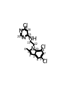 Cc1cc2cc(Cl)cc(Cl)c2n1CCNc1cc(Cl)ncn1